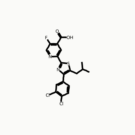 CC(C)Cc1sc(-c2cc(C(=O)O)c(F)cn2)nc1-c1ccc(Cl)c(Cl)c1